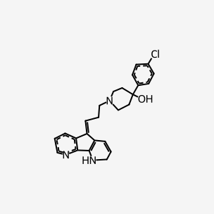 OC1(c2ccc(Cl)cc2)CCN(CCC=C2C3=C(NCC=C3)c3ncccc32)CC1